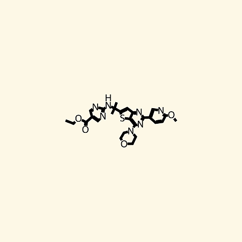 CCOC(=O)c1cnc(NC(C)(C)c2cc3nc(-c4ccc(OC)nc4)nc(N4CCOCC4)c3s2)nc1